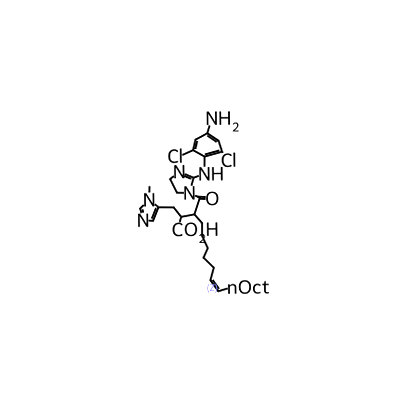 CCCCCCCC/C=C\CCCCCC(C(=O)N1CCN=C1Nc1c(Cl)cc(N)cc1Cl)C(Cc1cncn1C)C(=O)O